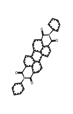 O=C1c2ccc3c4ccc5c6c(ccc(c7ccc(c2c37)C(=O)N1c1ccccc1)c64)C(=O)N(c1ccccc1)C5=O